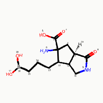 NC1(C(=O)O)C[C@H]2C(=O)NCC2C1CCCB(O)O